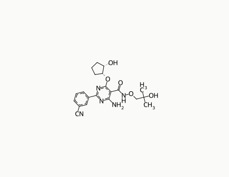 CC(C)(O)CONC(=O)c1c(N)nc(-c2cccc(C#N)c2)nc1O[C@@H]1CCC[C@@H]1O